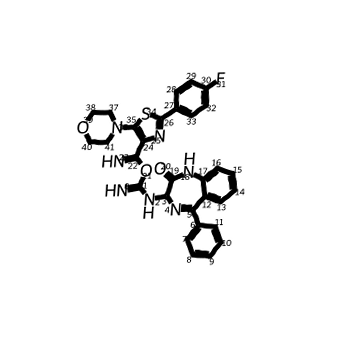 N=C(NC1N=C(c2ccccc2)c2ccccc2NC1=O)OC(=N)c1nc(-c2ccc(F)cc2)sc1N1CCOCC1